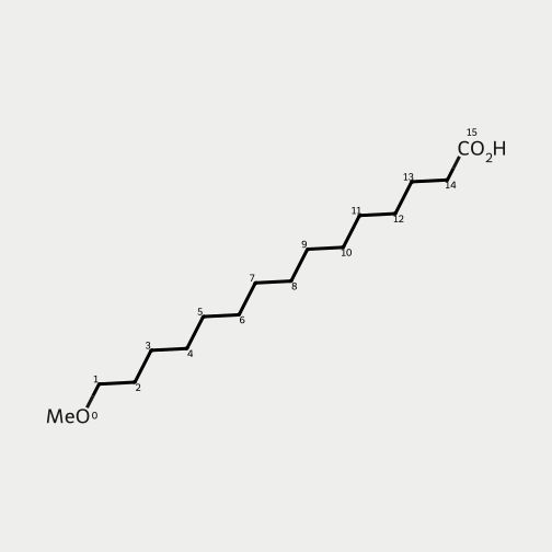 COCCCCCCCCCCCCCCC(=O)O